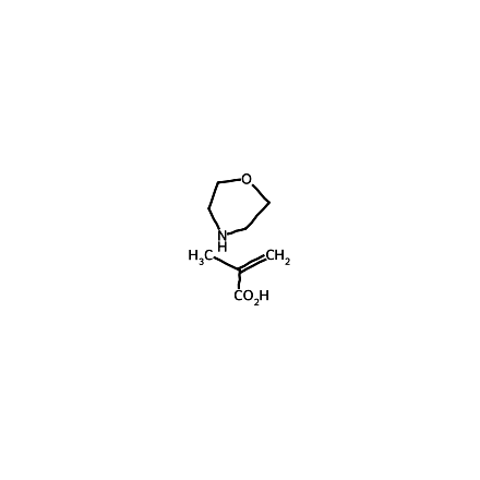 C1COCCN1.C=C(C)C(=O)O